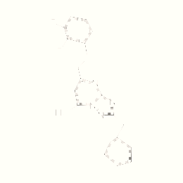 Oc1cc(CSc2cccc(F)c2F)nc2nc(Cc3ccccc3)nn12